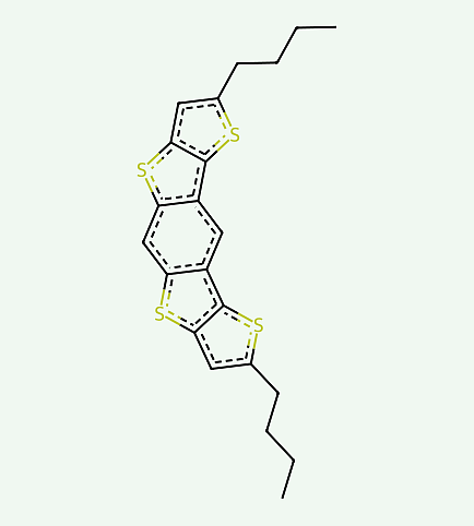 CCCCc1cc2sc3cc4sc5cc(CCCC)sc5c4cc3c2s1